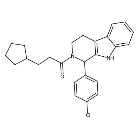 O=C(CCC1CCCC1)N1CCc2c([nH]c3ccccc23)C1c1ccc(Cl)cc1